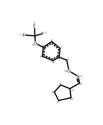 FC(F)(F)Oc1ccc(CO/N=[C]\C2CCCC2)cc1